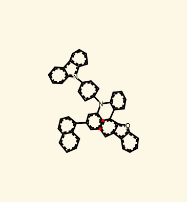 c1cc(-c2cccc3ccccc23)cc(N(c2ccc(-n3c4ccccc4c4ccccc43)cc2)c2ccccc2-c2cccc3c2oc2ccccc23)c1